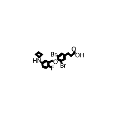 O=C(O)CCc1cc(Br)c(OCc2cc(NC3CCC3)ccc2F)c(Br)c1